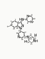 Cc1ccc2c(Nc3cnccn3)nn(-c3cncc(N4C[C@@H]5C[C@H]4CN5)c3)c2c1